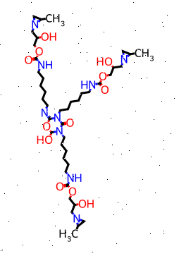 CC1CN1CC(O)COC(=O)NCCCCCC/N=C1/OC(O)N(CCCCCCNC(=O)OCC(O)CN2CC2C)C(=O)N1CCCCCCNC(=O)OCC(O)CN1CC1C